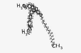 CCCCCCCCCCCCCCCCCCCCOc1ccc(S(=O)(=O)c2cnc3ccc(SC)cc3c2N2CCC(N3CCN(C4CCN(CC)CC4)CC3)CC2)cc1